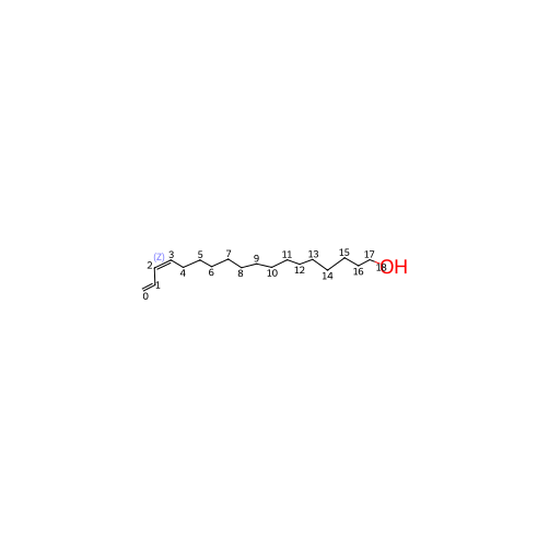 C=C/C=C\CCCCCCCCCCCCCCO